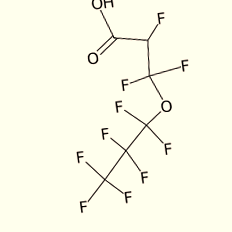 O=C(O)C(F)C(F)(F)OC(F)(F)C(F)(F)C(F)(F)F